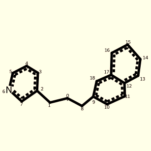 [CH](Cc1cccnc1)Cc1ccc2ccccc2c1